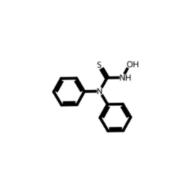 ONC(=S)N(c1ccccc1)c1ccccc1